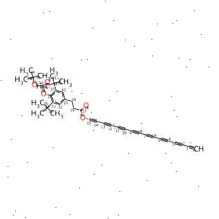 C#CC#CC#CC#CC#CC#CC#CC#COC(=O)CCc1cc(C(C)(C)C)c(OC(=O)OC(C)(C)C)c(C(C)(C)C)c1